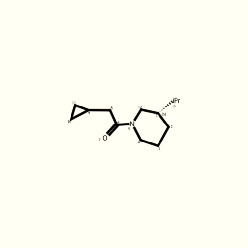 CC(C)[C@@H]1CCCN(C(=O)CC2CC2)C1